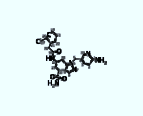 Nc1ccc(Cn2ncc3c(S(N)(=O)=O)cc(NC(=O)Cc4ccccc4Cl)cc32)cn1